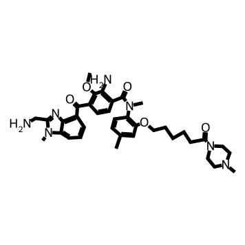 COc1c(C(=O)c2cccc3c2nc(CN)n3C)ccc(C(=O)N(C)c2ccc(C)cc2OCCCCCC(=O)N2CCN(C)CC2)c1N